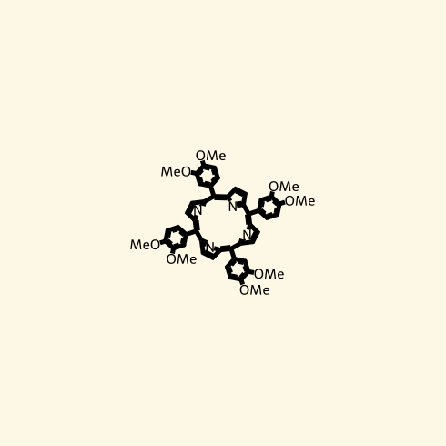 COc1ccc(C2=C3C=CC(=N3)C(c3ccc(OC)c(OC)c3)=C3C=CC(=N3)C(c3ccc(OC)c(OC)c3)=C3C=CC(=N3)C(c3ccc(OC)c(OC)c3)=C3C=CC2=N3)cc1OC